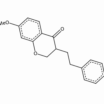 COc1ccc2c(c1)OCC(CCc1ccccc1)C2=O